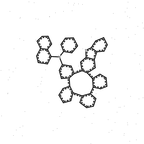 c1ccc(N(c2ccc3c4ccccc4c4ccccc4c4ccccc4c4cc5c(cc4c3c2)sc2ccccc25)c2cccc3ccccc23)cc1